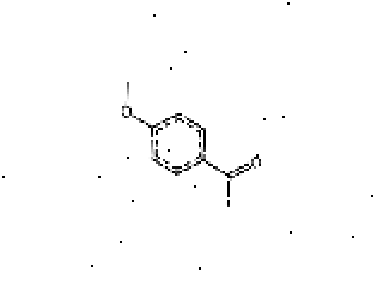 [CH2]C(=O)c1ccc(OC)cc1